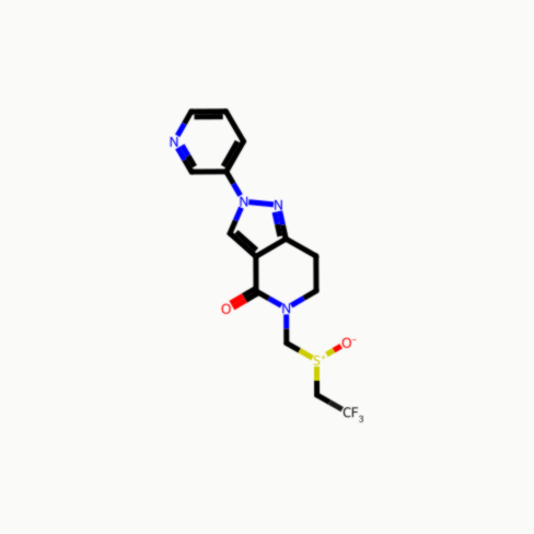 O=C1c2cn(-c3cccnc3)nc2CCN1C[S+]([O-])CC(F)(F)F